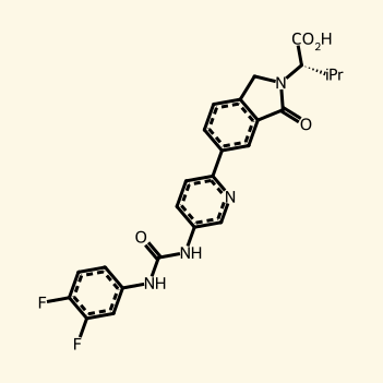 CC(C)[C@@H](C(=O)O)N1Cc2ccc(-c3ccc(NC(=O)Nc4ccc(F)c(F)c4)cn3)cc2C1=O